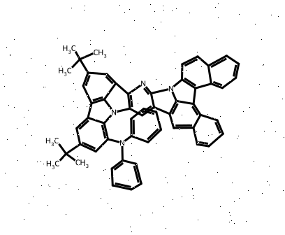 CC(C)(C)c1cc(N(c2ccccc2)c2ccccc2)c2c(c1)c1cc(C(C)(C)C)cc3c4nc5c(cc4n2c13)c1cc2ccccc2c2c3c4ccccc4ccc3n5c12